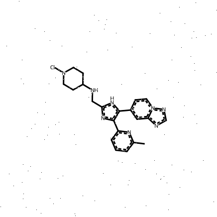 Cc1cccc(-c2nc(CNC3CCN(Cl)CC3)[nH]c2-c2ccn3ncnc3c2)n1